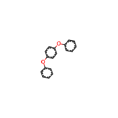 c1ccc(Oc2ccc(Oc3ccccc3)cc2)cc1